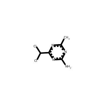 Cc1nc(N)nc(C(Cl)Cl)n1